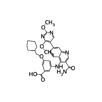 COc1ncc(-c2ccc3c(Nc4cc(OCC5CCCCC5)cc(C(=O)O)c4)c(C(N)=O)cnc3c2)c(OC)n1